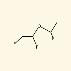 CC(F)OC(F)CF